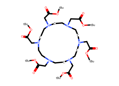 CC(C)(C)OC(=O)CN1CCN(CC(=O)OC(C)(C)C)CCN(CC(=O)OC(C)(C)C)CCN(CC(=O)OC(C)(C)C)CCN(CC(=O)OC(C)(C)C)CCN(CC(=O)OC(C)(C)C)CC1